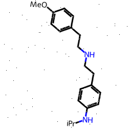 COc1ccc(CCNCCc2ccc(NC(C)C)cc2)cc1